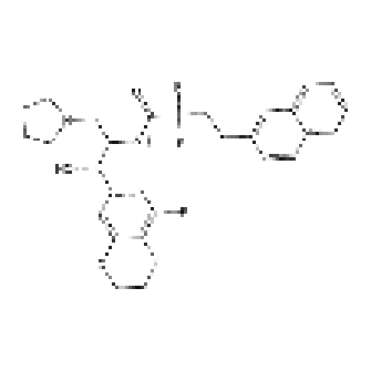 O=C(NC(CN1CCCC1)C(O)c1cc(F)c2c(c1)OCCO2)C(F)(F)CCc1ccc2ccccc2c1